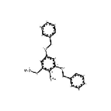 COCc1cc(OCc2ccccc2)cc(OCc2ccccc2)c1C=O